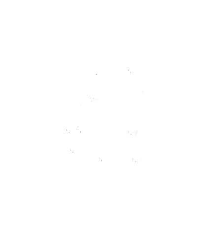 COC1CC(Nc2cc(-c3ncnn3COCC[Si](C)(C)C)ncc2[N+](=O)[O-])CC(OC(N)=O)C1